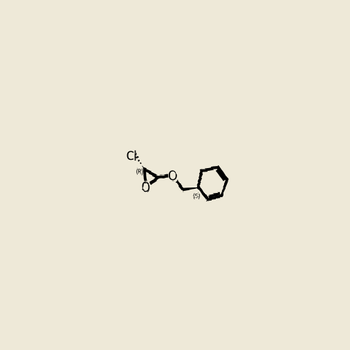 Cl[C@H]1OC1OC[C@@H]1C=CC=CC1